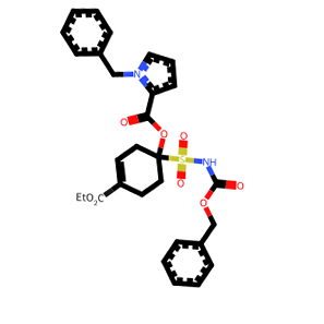 CCOC(=O)C1=CCC(OC(=O)c2cccn2Cc2ccccc2)(S(=O)(=O)NC(=O)OCc2ccccc2)CC1